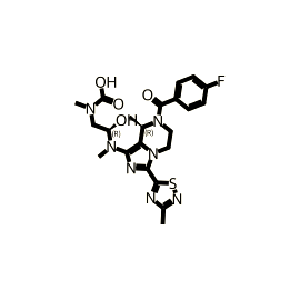 Cc1nsc(-c2nc(N(C)[C@H](O)CN(C)C(=O)O)c3n2CCN(C(=O)c2ccc(F)cc2)[C@@H]3C)n1